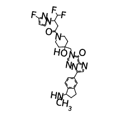 CNC1CCc2cc(-c3cnc4c(=O)n(CC5(O)CCN(C(=O)CC(C(F)F)n6ccc(F)n6)CC5)cnn34)ccc21